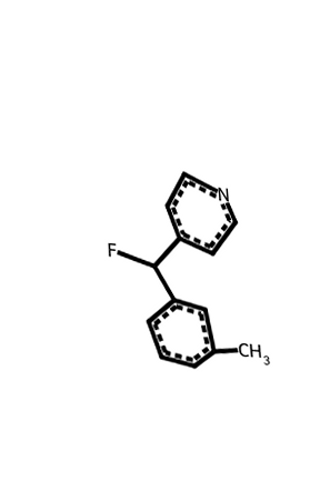 Cc1cccc(C(F)c2ccncc2)c1